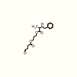 CC(NCc1ccccc1)C(=O)OCCCOC(=O)CCC=O